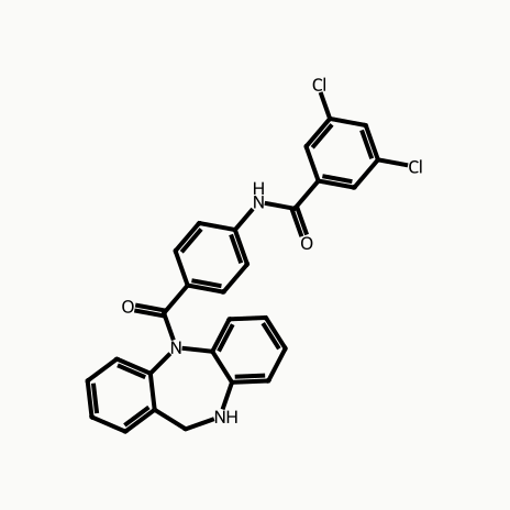 O=C(Nc1ccc(C(=O)N2c3ccccc3CNc3ccccc32)cc1)c1cc(Cl)cc(Cl)c1